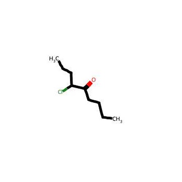 CCCCC(=O)C(Cl)CCC